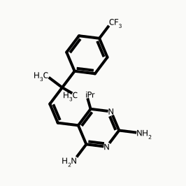 CC(C)c1nc(N)nc(N)c1/C=C\C(C)(C)c1ccc(C(F)(F)F)cc1